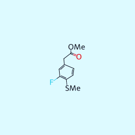 COC(=O)Cc1ccc(SC)c(F)c1